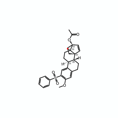 COc1cc2c(cc1S(=O)(=O)c1ccccc1)[C@H]1CC[C@]3(C)[C@@]4(OC(C)=O)C=C[C@]3(CC4)[C@@H]1CC2